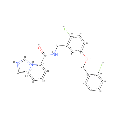 O=C(NCc1cc(OCc2ccccc2F)ccc1F)c1cccc2cncn12